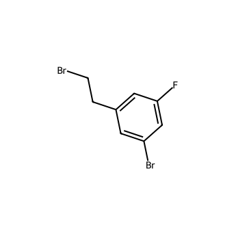 Fc1cc(Br)cc(CCBr)c1